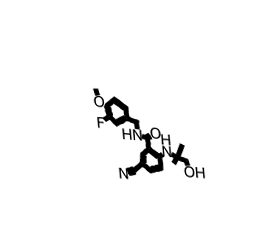 COc1ccc(CNC(=O)c2cc(C#N)ccc2NC(C)(C)CO)cc1F